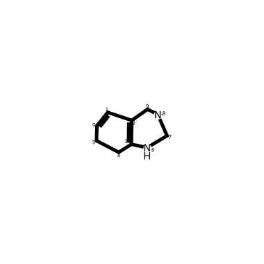 C1=CC2=C(CC1)NC[N]C2